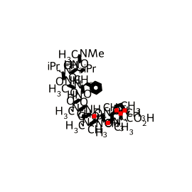 CN[C@@H](C)C(=O)N[C@@H](CC(C)C)C(=O)N(C)[C@@H](CC(C)C)C(=O)N[C@@H](C)C(=O)N(C)[C@@H](Cc1ccccc1)C(=O)NCC(=O)N(C)[C@@H](C)C(=O)N[C@@H](CC(C)C)C(=O)N(C)[C@@H](C)C(=O)N[C@@H](C)C(=O)N(C)C(C(=O)N(C)[C@@H](CC(=O)O)C(=O)N(C)C)C1CCCC1